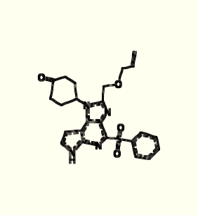 C=CCOCc1nc2c(S(=O)(=O)c3ccccc3)nc3[nH]ccc3c2n1C1CCC(=O)CC1